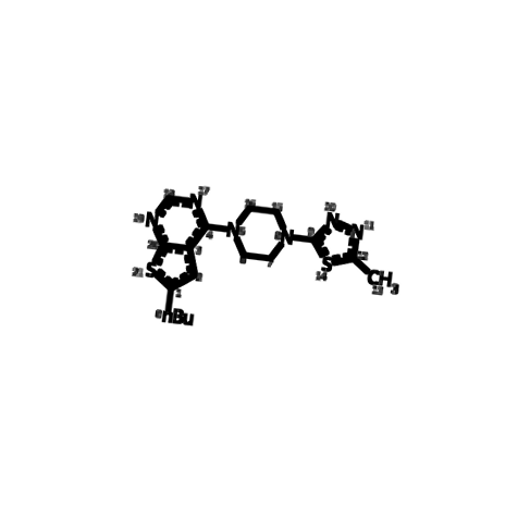 CCCCc1cc2c(N3CCN(c4nnc(C)s4)CC3)ncnc2s1